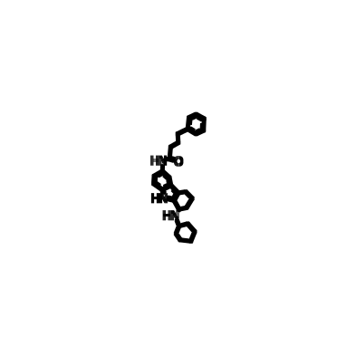 O=C(CCCc1ccccc1)Nc1ccc2[nH]c3c(c2c1)CCCC3NC1CCCCC1